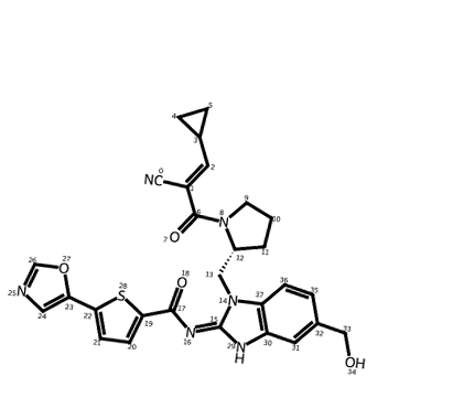 N#CC(=CC1CC1)C(=O)N1CCC[C@@H]1Cn1c(=NC(=O)c2ccc(-c3cnco3)s2)[nH]c2cc(CO)ccc21